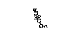 Cc1cc(S(=O)(=O)N2CCC(C3C=CCC(Cl)=C3)CC2)ccc1Br